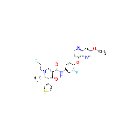 COc1cnc2c(Oc3ccc(NC(=O)c4cn(CCF)c(C)c(-c5ccsc5)c4=O)cc3F)ccnc2c1